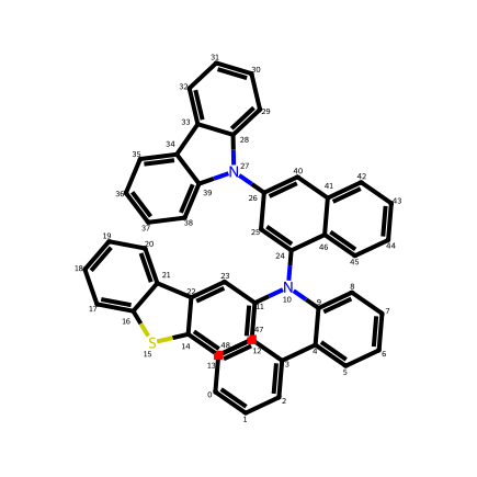 c1ccc(-c2ccccc2N(c2ccc3sc4ccccc4c3c2)c2cc(-n3c4ccccc4c4ccccc43)cc3ccccc23)cc1